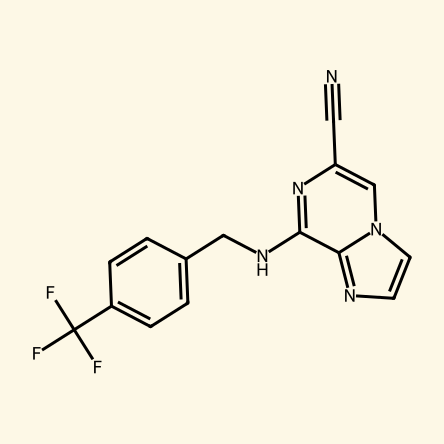 N#Cc1cn2ccnc2c(NCc2ccc(C(F)(F)F)cc2)n1